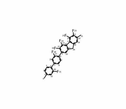 Cc1ccc(-c2ccc(-c3cc4c(c(F)c3F)-c3c(cc(C)c(F)c3F)C4)c(F)c2)c(F)c1